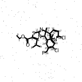 CCOC(=O)C1=C(C(C)C)N2C(=NC(C)(c3ccc(Cl)nc3)C2c2cc(CF)c(Cl)cc2C)S1